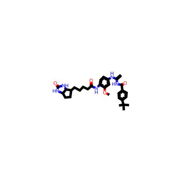 C=C(NC(=O)c1ccc(C(C)(C)C)cc1)Nc1ccc(NC(=O)CCCCC2CCC3NC(=O)NC23)c(OC)c1